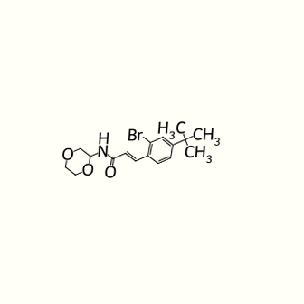 CC(C)(C)c1ccc(C=CC(=O)NC2COCCO2)c(Br)c1